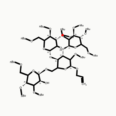 C=CCO[C@H]1OC(CO[C@@H]2OC(COCCCC)[C@@H](OCCCC)C(OCCCC)[C@@H]2O)[C@@H](O[C@@H]2OC(COCCCC)[C@@H](OCCCC)[C@H](OCCCC)C2O)[C@H](O[C@@H]2OC(COCCCC)[C@@H](OCCCC)[C@H](OCCCC)C2OCCCC)C1OCCCC